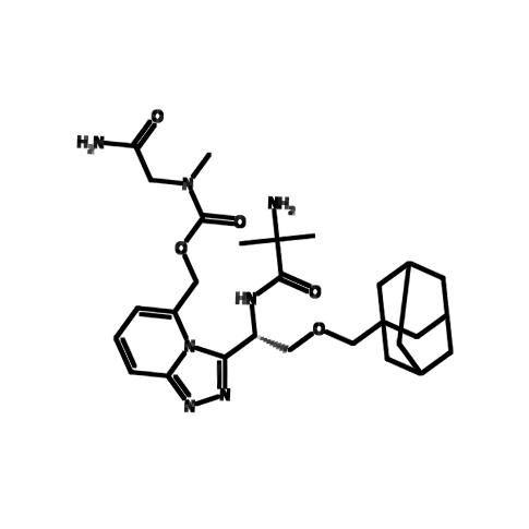 CN(CC(N)=O)C(=O)OCc1cccc2nnc([C@@H](COCC34CC5CC(CC(C5)C3)C4)NC(=O)C(C)(C)N)n12